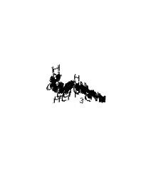 Cl.Cn1c(-c2cn(CC3CCC3)nc2C(F)(F)F)cnc1C(=O)Nc1ccc(C(=O)N2CCN(C(=O)C3CCNCC3)CC2)c(Cl)c1